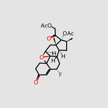 CC(=O)OCC(=O)[C@@]1(OC(C)=O)[C@@H](C)C[C@H]2[C@@H]3C[C@H](F)C4=CC(=O)CC[C@]4(C)[C@@]34O[C@H]4C[C@@]21C